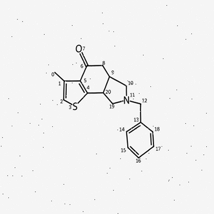 Cc1csc2c1C(=O)CC1CN(Cc3ccccc3)CC21